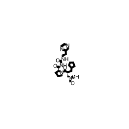 O=CN(O)C[C@@H](CC1CCCC1)C(=O)N1CCC[C@H]1C(=O)NC(=O)NCCc1cnccn1